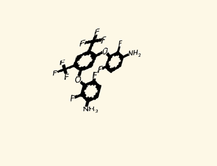 Nc1ccc(F)c(Oc2cc(Oc3c(F)ccc(N)c3F)c(C(F)(F)F)cc2C(F)(F)F)c1F